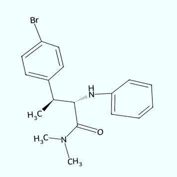 C[C@@H](c1ccc(Br)cc1)[C@H](Nc1ccccc1)C(=O)N(C)C